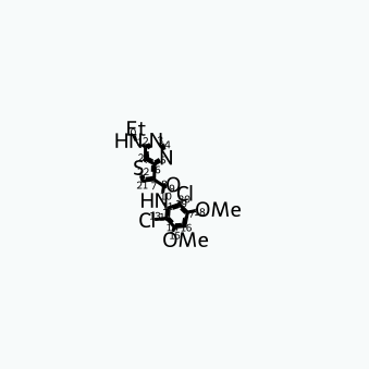 CCNc1ncnc2c(C(=O)Nc3c(Cl)c(OC)cc(OC)c3Cl)csc12